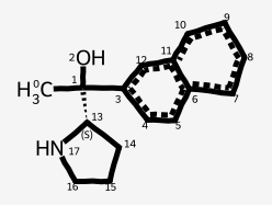 CC(O)(c1ccc2ccccc2c1)[C@@H]1CCCN1